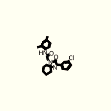 Cc1ccc(NC(=O)CN2C(=O)C(c3cccc(Cl)c3)=NC23CCCCC3)c(C)c1